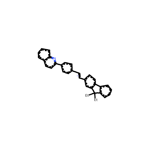 CCC1(CC)c2ccccc2-c2ccc(/C=C/c3ccc(-c4ccc5ccccc5n4)cc3)cc21